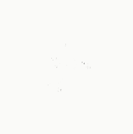 Cc1cc(-n2cnn(C/C(=C\F)COC(=O)NC(C)(C)C)c2=O)ccc1Br